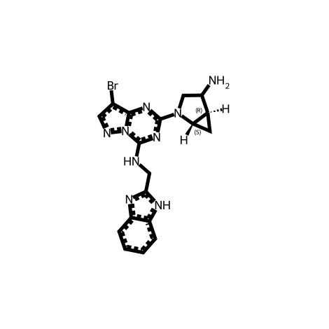 NC1CN(c2nc(NCc3nc4ccccc4[nH]3)n3ncc(Br)c3n2)[C@H]2C[C@H]12